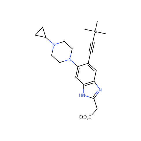 CCOC(=O)Cc1nc2cc(C#C[Si](C)(C)C)c(N3CCN(C4CC4)CC3)cc2[nH]1